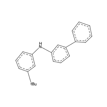 CC(C)(C)c1cccc(Nc2cccc(-c3ccccc3)c2)c1